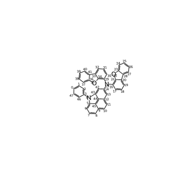 c1ccc(-n2c3cccc4ccc5cc(N(c6cccc7c6oc6ccccc67)c6cccc7c6oc6ccccc67)cc2c5c43)cc1